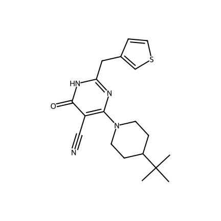 CC(C)(C)C1CCN(c2nc(Cc3ccsc3)[nH]c(=O)c2C#N)CC1